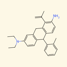 C=C(C)c1c(N)ccc2c1Cc1cc(N(CC)CC)ccc1C2c1ccccc1C